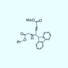 COC(=O)C#CC(NCC(=O)OC(C)C)C1c2ccccc2-c2ccccc21